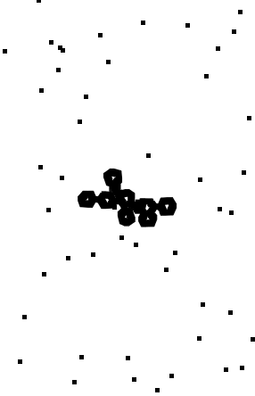 c1ccc(-c2ccc3c4c5c6ccccc6n(-c6ccc(-c7ccccc7)c7ccccc67)c5ccc4n(-c4ccccc4)c3c2)cc1